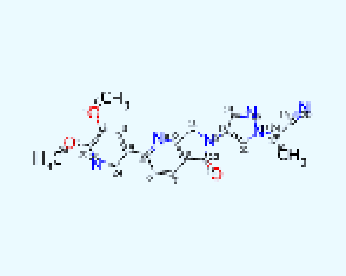 COc1cc(-c2ccc3c(n2)CN(c2cnn([C@@H](C)C#N)c2)C3=O)cnc1OC